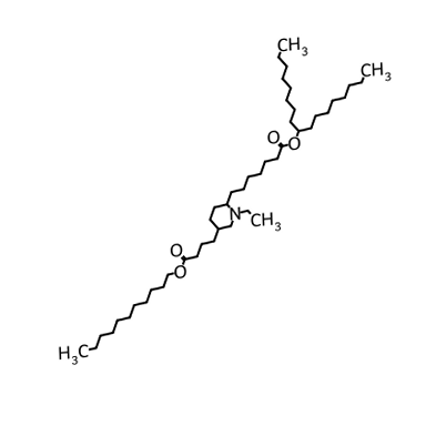 CCCCCCCCCCCOC(=O)CCCC1CCC(CCCCCCC(=O)OC(CCCCCCCC)CCCCCCCC)N(CC)C1